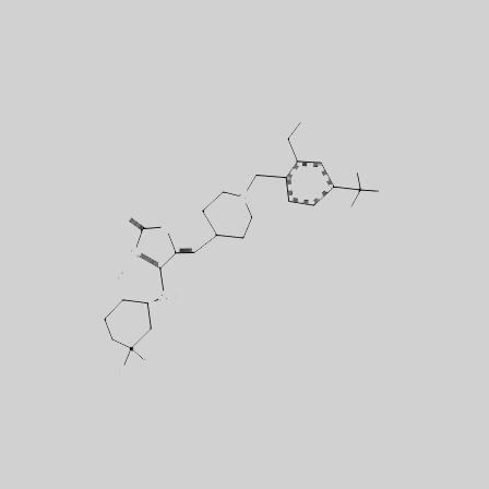 O=C1N=C(N[C@H]2CC(F)(F)CC[C@@H]2O)/C(=C/C2CCN(Cc3ccc(C(F)(F)F)cc3CF)CC2)S1